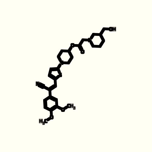 COc1ccc(C(C#N)=Cc2ccc(N3CCC(OC(=O)CN4CCCC(CO)C4)CC3)s2)cc1OC